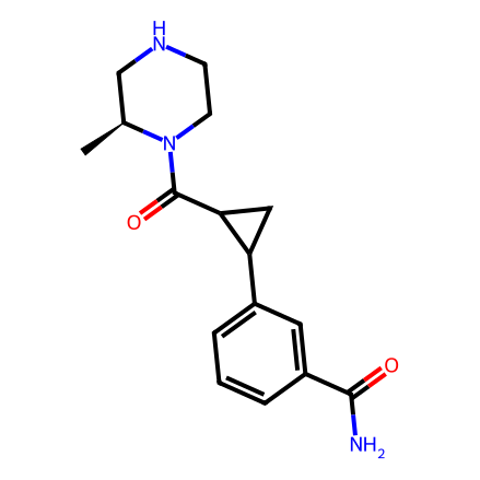 C[C@H]1CNCCN1C(=O)C1CC1c1cccc(C(N)=O)c1